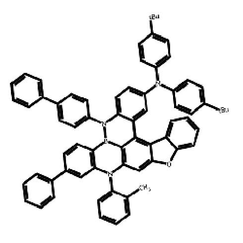 Cc1ccccc1N1c2cc(-c3ccccc3)ccc2B2c3c1cc1oc4ccccc4c1c3-c1cc(N(c3ccc(C(C)(C)C)cc3)c3ccc(C(C)(C)C)cc3)ccc1N2c1ccc(-c2ccccc2)cc1